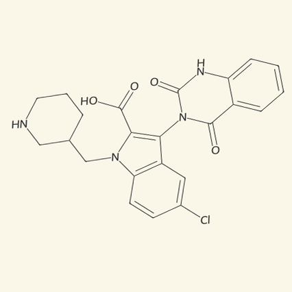 O=C(O)c1c(-n2c(=O)[nH]c3ccccc3c2=O)c2cc(Cl)ccc2n1CC1CCCNC1